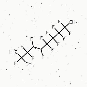 CC(C)(F)C(F)(F)C(F)C(F)C(F)(F)C(F)(F)C(F)(F)C(C)(F)F